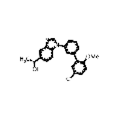 COc1ccc(Cl)cc1-c1cccc(-n2cnc3cc([C@H](C)O)ccc32)c1